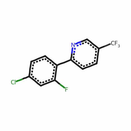 Fc1cc(Cl)ccc1-c1ccc(C(F)(F)F)cn1